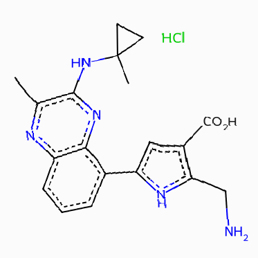 Cc1nc2cccc(-c3cc(C(=O)O)c(CN)[nH]3)c2nc1NC1(C)CC1.Cl